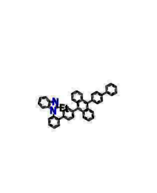 CCc1nc2ccccc2n1-c1ccccc1-c1ccc(-c2c3ccccc3c(-c3ccc(-c4ccccc4)cc3)c3ccccc23)cc1